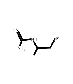 CCCCC(C)NC(=N)N